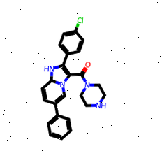 O=C(C1=C(c2ccc(Cl)cc2)NC2C=CC(c3ccccc3)=CN12)N1CCNCC1